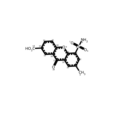 Cc1cc(S(N)(=O)=O)c2oc3ccc(C(=O)O)cc3c(=O)c2c1